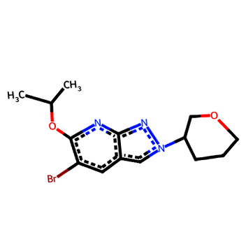 CC(C)Oc1nc2nn(C3CCCOC3)cc2cc1Br